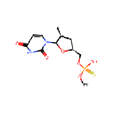 CC(C)OP(O)(=S)OC[C@@H]1C[C@H](C)C(n2ccc(=O)[nH]c2=O)O1